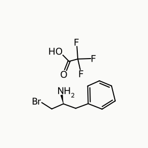 N[C@H](CBr)Cc1ccccc1.O=C(O)C(F)(F)F